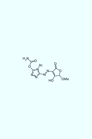 COC1OC(=O)C(N=Nc2nnc(OS(N)=O)n2C(C)=O)=C1O